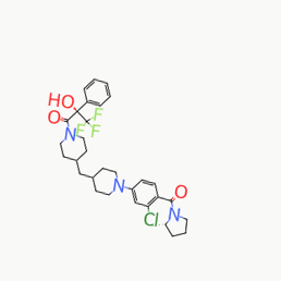 C[C@H]1CCCN1C(=O)c1ccc(N2CCC(CC3CCN(C(=O)[C@](O)(c4ccccc4)C(F)(F)F)CC3)CC2)cc1Cl